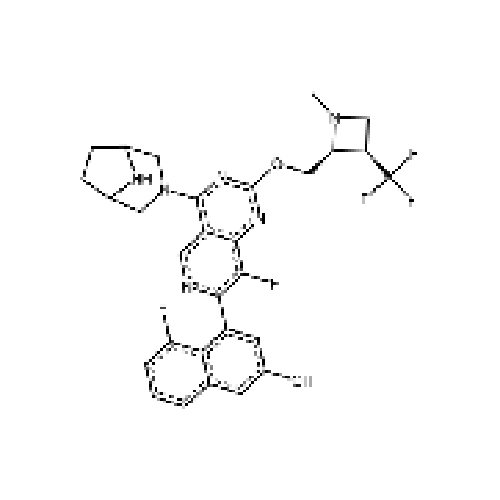 CN1C[C@@H](C(F)(F)F)[C@H]1COc1nc(N2CC3CCC(C2)N3)c2cnc(-c3cc(O)cc4cccc(F)c34)c(F)c2n1